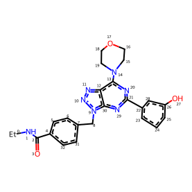 CCNC(=O)c1ccc(Cn2nnc3c(N4CCOCC4)nc(-c4cccc(O)c4)nc32)cc1